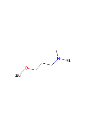 CCN(C)CCCOC(C)(C)C